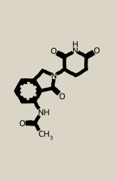 CC(=O)Nc1cccc2c1C(=O)N(C1CCC(=O)NC1=O)C2